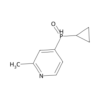 Cc1cc([PH](=O)C2CC2)ccn1